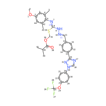 COc1cc(C)c(/N=C(/N/N=C/c2ccc(-c3ncn(-c4ccc(OC(F)(F)F)cc4)n3)cc2)SCOC(=O)C(C)C)c(C)c1